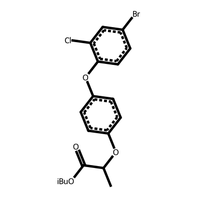 CC(C)COC(=O)C(C)Oc1ccc(Oc2ccc(Br)cc2Cl)cc1